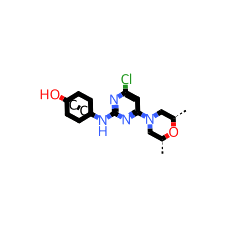 C[C@@H]1CN(c2cc(Cl)nc(NC34CCC(O)(CC3)CC4)n2)C[C@H](C)O1